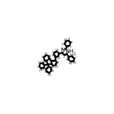 N/C(=C\C(=N/Cc1ccccc1)c1cccc(-c2cccc3c2-c2ccccc2C3(C2=CCCC=C2)c2ccccc2)c1)c1ccccc1